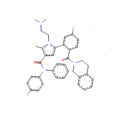 Cc1c(C(=O)N(c2ccccc2)c2ccc(O)cc2)cc(-c2cc(Cl)ccc2C(=O)N2Cc3ccccc3C[C@H]2C)n1CCN(C)C